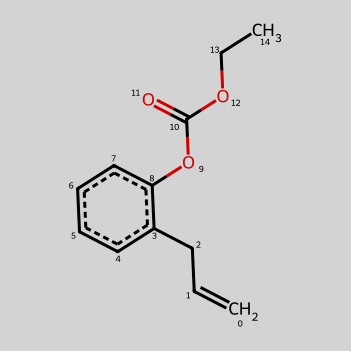 C=CCc1ccccc1OC(=O)OCC